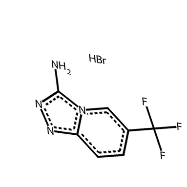 Br.Nc1nnc2ccc(C(F)(F)F)cn12